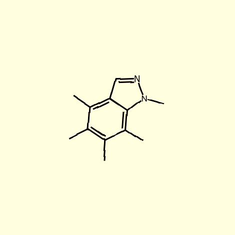 Cc1c(C)c(C)c2c(cnn2C)c1C